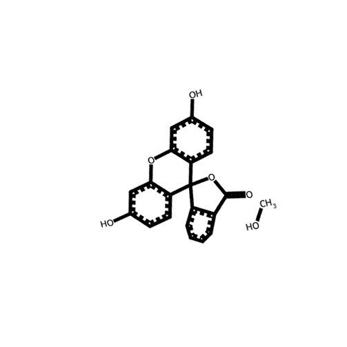 CO.O=C1OC2(c3ccc(O)cc3Oc3cc(O)ccc32)c2ccccc21